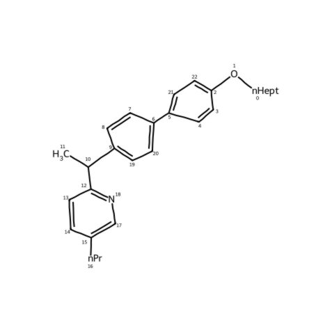 CCCCCCCOc1ccc(-c2ccc(C(C)c3ccc(CCC)cn3)cc2)cc1